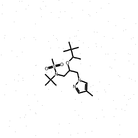 Cc1cnn(CC(CN(C(C)(C)C)S(C)(=O)=O)OC(C)C(C)(C)C)c1